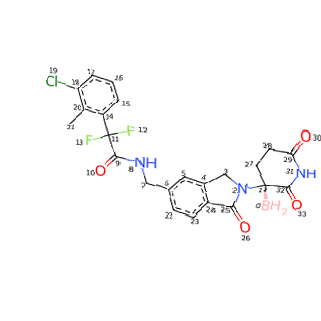 B[C@@]1(N2Cc3cc(CNC(=O)C(F)(F)c4cccc(Cl)c4C)ccc3C2=O)CCC(=O)NC1=O